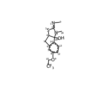 CN=C1SC2Cc3cc(OCC(F)(F)F)ccc3C2(O)N1C